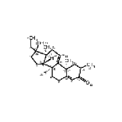 CC[C@@]1(O)CC[C@H]2[C@@H]3CCC4=CC(=O)C(C)C[C@]4(C)C3=CC[C@@]21C